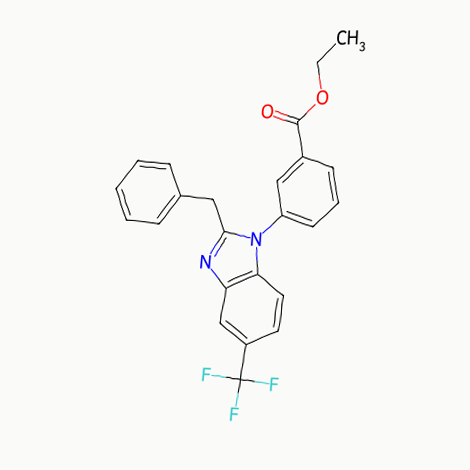 CCOC(=O)c1cccc(-n2c(Cc3ccccc3)nc3cc(C(F)(F)F)ccc32)c1